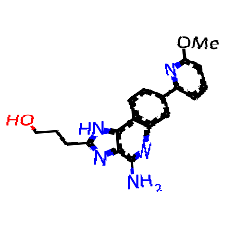 COc1cccc(-c2ccc3c(c2)nc(N)c2nc(CCCO)[nH]c23)n1